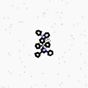 CC12C=CC=CC1N(c1ccccc1)c1ccc([Si](c3ccccc3)(c3ccccc3)c3cc(-c4ccccc4)cc(C4=CCCC=C4)n3)cc12